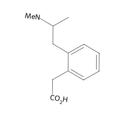 CNC(C)Cc1ccccc1CC(=O)O